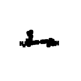 C=C1CCC(N2C(=O)c3ccc(N4CCC(C5CN(c6ccc(Nc7nc(N8CCC[C@@H](N9CCCC9=O)C8)cnc7C(N)=O)cc6)C5)CC4)cc3C2=O)C(=O)N1